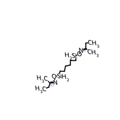 CC/C(C)=N/O[SiH2]CCCCCC[SiH2]O/N=C(\C)CC